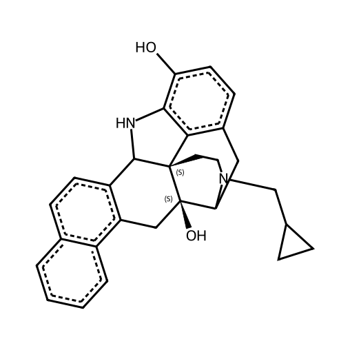 Oc1ccc2c3c1NC1c4ccc5ccccc5c4C[C@@]4(O)C(C2)N(CC2CC2)CC[C@]314